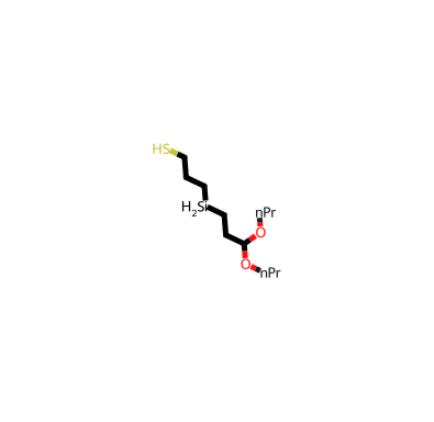 CCCOC(CC[SiH2]CCCS)OCCC